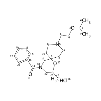 CC(C)OCCN1CCC2(CC1)CN(C(=O)c1ccccc1)CC(C)O2.Cl